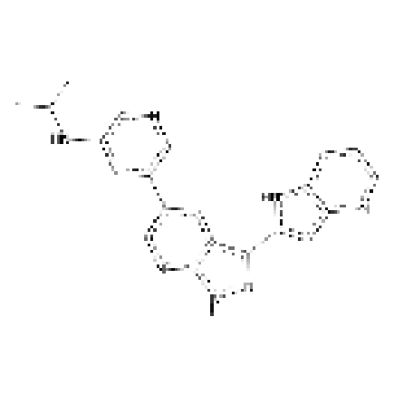 CC(C)Nc1cncc(-c2cnc3[nH]nc(-c4cc5ncccc5[nH]4)c3c2)c1